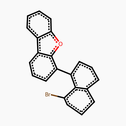 Brc1cccc2cccc(-c3cccc4c3oc3ccccc34)c12